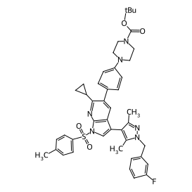 Cc1ccc(S(=O)(=O)n2cc(-c3c(C)nn(Cc4cccc(F)c4)c3C)c3cc(-c4ccc(N5CCN(C(=O)OC(C)(C)C)CC5)cc4)c(C4CC4)nc32)cc1